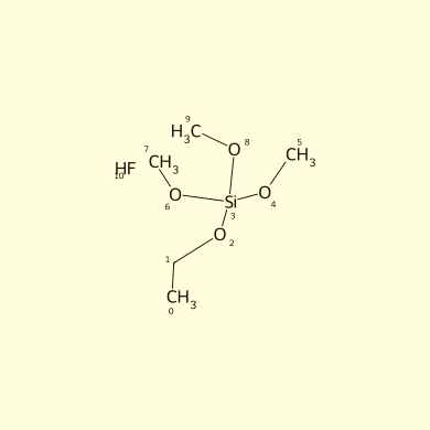 CCO[Si](OC)(OC)OC.F